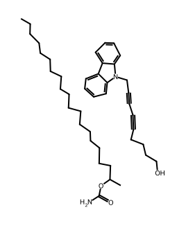 CCCCCCCCCCCCCCCCCCC(C)OC(N)=O.OCCCCC#CC#CCn1c2ccccc2c2ccccc21